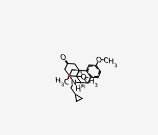 COc1ccc2c(c1)[C@]13CCN(CC4CC4)[C@H](C2)C1(OC)[C@@H](C)CC(=O)C3